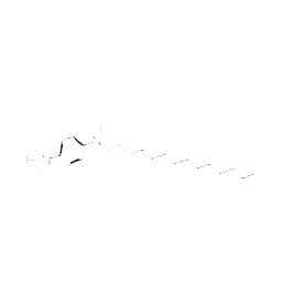 CCCCCCCCCCCCCCNc1ccc(N)cc1